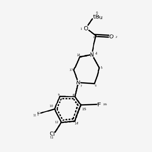 CC(C)(C)OC(=O)N1CCN(c2cc(F)c(Cl)cc2F)CC1